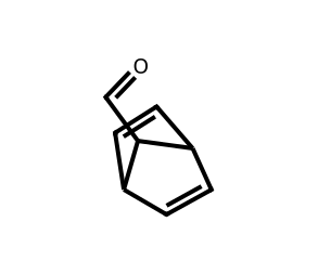 O=CC1C2C=CC1C=C2